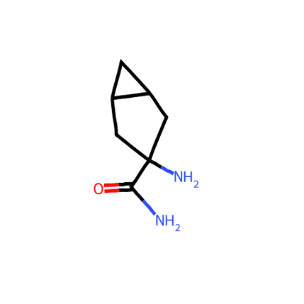 NC(=O)C1(N)CC2CC2C1